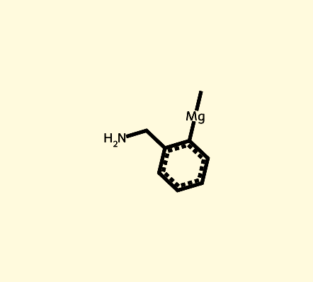 [CH3][Mg][c]1ccccc1CN